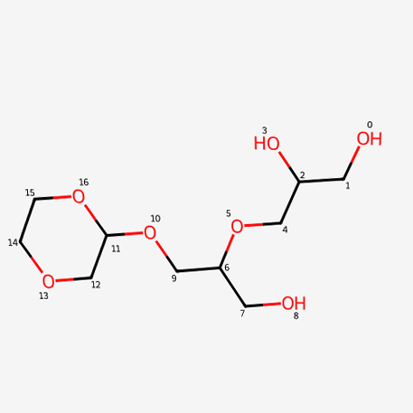 OCC(O)COC(CO)COC1COCCO1